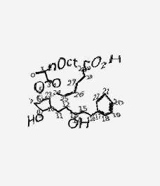 C=C(CCCCCCCC)C(=O)O[C@H]1C[C@@H](O)[C@H](CC[C@@H](O)CCc2ccccc2)[C@H]1C/C=C\CCCC(=O)O